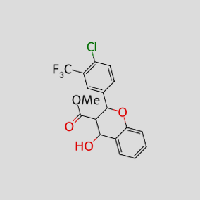 COC(=O)C1C(O)c2ccccc2OC1c1ccc(Cl)c(C(F)(F)F)c1